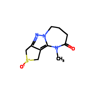 CN1C(=O)CCCn2nc3c(c21)C[S+]([O-])C3